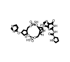 O=C(Nc1nc2c(ncn2[C@@H]2O[C@@H]3CO[P@@](=O)(S)O[C@H]4C[C@H](Oc5ccncn5)CC4CO[P@@](=O)(S)O[C@@H]2[C@@H]3O)c(=O)[nH]1)[C@H]1CCCN1